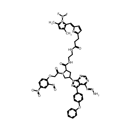 Cc1cc(C)n(B(F)F)c1/C=C1/C=CC(CCC(=O)NCCNC(=O)C2CC(n3nc(-c4ccc(Oc5ccccc5)cc4)c4c(N=NN)ncnc43)CN2C(=O)COc2ccc([N+](=O)[O-])cc2N=O)=N1